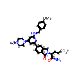 COc1ccc(CNc2cc(N3CCN(C(C)=O)CC3)cc(-c3ccc4c(c3)CN(C(CCC(=O)O)C(N)=O)C4=O)n2)cc1